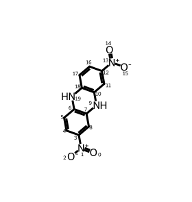 O=[N+]([O-])c1ccc2c(c1)Nc1cc([N+](=O)[O-])ccc1N2